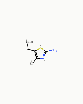 CCc1nc(N)sc1CC(=O)O